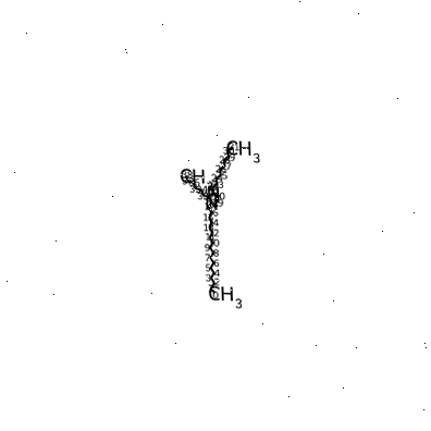 CCCCCCCCCCCCCCCCCCN1C=CN(CCCCCCCCCC)C1CCCCCC